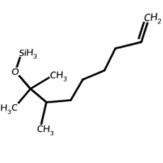 C=CCCCCC(C)C(C)(C)O[SiH3]